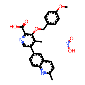 COc1ccc(COc2c(C(=O)O)ncc(-c3ccc4nc(C)ccc4c3)c2C)cc1.O=NO